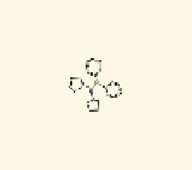 C1=CC[C]([Fe]([C]2=CC=CC2)[P](c2ccccc2)c2ccccc2)=C1